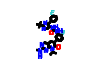 CNc1ncc2cc(-c3ccc(F)c(NC(=O)Nc4cnc(C(C)(C)C)nc4-c4cccc(F)c4)c3)c(=O)n(C(C)C)c2n1